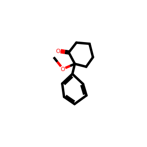 COC1(c2ccccc2)CCCCC1=O